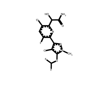 Cn1nc(-c2nc(C(O)C(N)=O)c(Cl)cc2F)c(Cl)c1OC(F)F